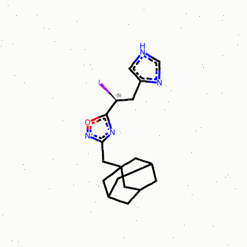 I[C@@H](Cc1c[nH]cn1)c1nc(CC23CC4CC(CC(C4)C2)C3)no1